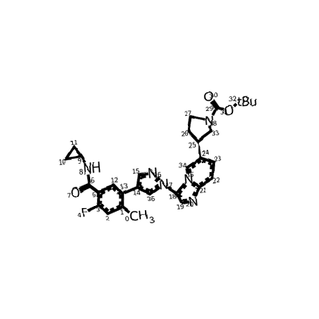 Cc1cc(F)c(C(=O)NC2CC2)cc1-c1cnn(-c2cnc3ccc([C@H]4CCN(C(=O)OC(C)(C)C)C4)cn23)c1